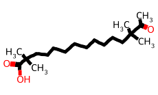 CC(=O)C(C)(C)CCCCCCCCCCC(C)(C)C(=O)O